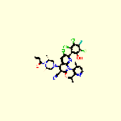 C=CC(=O)N1[C@H](C)CN(c2c(C#N)c(=O)n(-c3c(C)ccnc3C(C)C)c3nc(-c4c(O)c(Cl)c(F)c(Cl)c4Cl)c(Cl)cc23)C[C@@H]1C